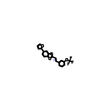 FC(F)(F)Oc1cccc(/C=C/c2nc3cc(-c4ccco4)ccc3o2)c1